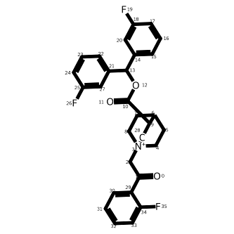 O=C(C[N+]12CCC(CC1)C(C(=O)OC(c1cccc(F)c1)c1cccc(F)c1)C2)c1ccccc1F